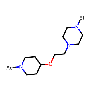 CCN1CCN(CCOC2CCN(C(C)=O)CC2)CC1